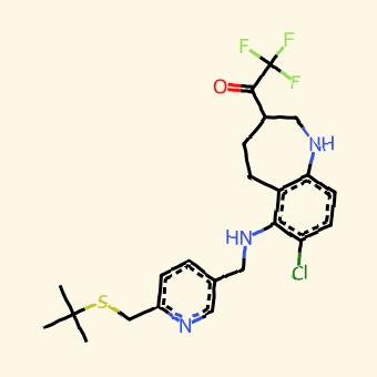 CC(C)(C)SCc1ccc(CNc2c(Cl)ccc3c2CCC(C(=O)C(F)(F)F)CN3)cn1